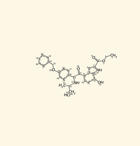 CCOC(=O)c1cc2c(C(=O)C(NC(C)C)c3ccc(OCc4ccccc4)cc3)ccc(O)c2[nH]1.Cl